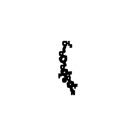 CCCCOC1CCC(COc2cc(F)c(C(=O)Oc3ccc(C#N)c(F)c3)c(F)c2)CC1